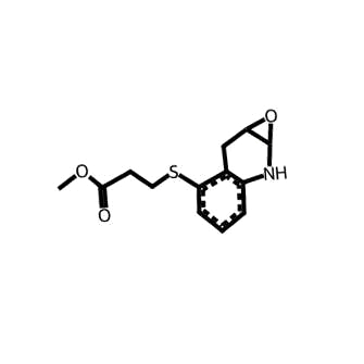 COC(=O)CCSc1cccc2c1CC1OC1N2